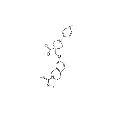 CN1C=CC(N2CCC(COc3ccc4c(c3)CN(C(=N)N)CC4)(C(=O)O)CC2)=CC1